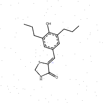 CCCc1cc(/C=C2\SCNC2=O)cc(CCC)c1O